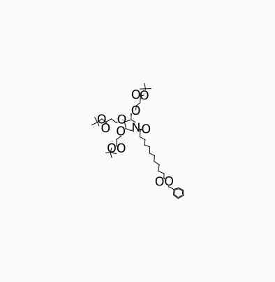 CC(C)(C)OC(=O)CCOC[C@H]1CN(C(=O)CCCCCCCCCCC(=O)OCc2ccccc2)C[C@@H](OCCC(=O)OC(C)(C)C)[C@@H]1OCCC(=O)OC(C)(C)C